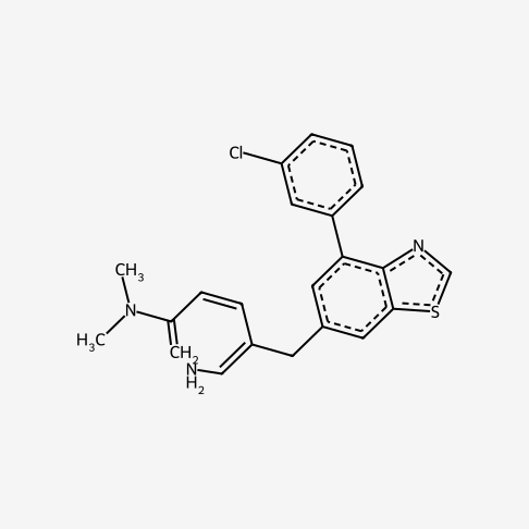 C=C(/C=C\C(=C/N)Cc1cc(-c2cccc(Cl)c2)c2ncsc2c1)N(C)C